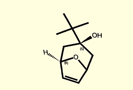 CC(C)(C)[C@]1(O)CC2C=C[C@@H](C1)O2